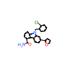 NC(=O)c1cccc2c1c1[c]cc(-c3ccco3)cc1n2Cc1ccccc1Cl